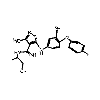 CC(CO)NC(=N)c1c(O)nsc1Nc1ccc(Oc2ccc(F)cc2)c(Br)c1